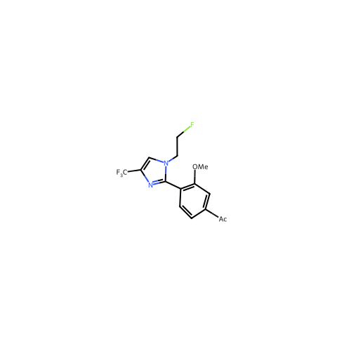 COc1cc(C(C)=O)ccc1-c1nc(C(F)(F)F)cn1CCF